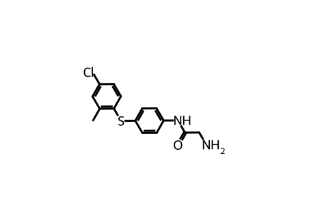 Cc1cc(Cl)ccc1Sc1ccc(NC(=O)CN)cc1